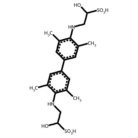 Cc1cc(-c2cc(C)c(NCC(O)S(=O)(=O)O)c(C)c2)cc(C)c1NCC(O)S(=O)(=O)O